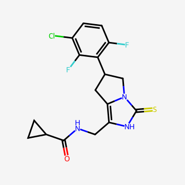 O=C(NCc1[nH]c(=S)n2c1CC(c1c(F)ccc(Cl)c1F)C2)C1CC1